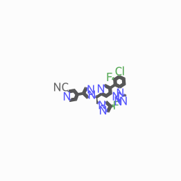 N#Cc1cc(-c2cnn([C@H](Cn3cc(F)cn3)c3ccc(-c4c(-n5cnnn5)ccc(Cl)c4F)cn3)c2)ccn1